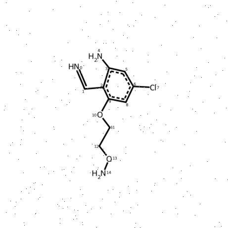 N=Cc1c(N)cc(Cl)cc1OCCON